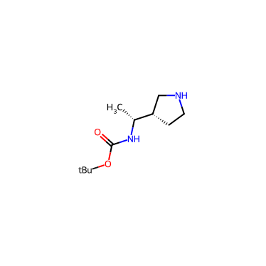 C[C@@H](NC(=O)OC(C)(C)C)[C@H]1CCNC1